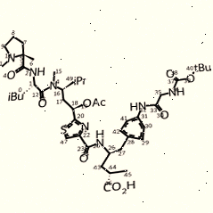 CCC(C)[C@H](NC(=O)[C@@]1(C)CCCN1C)C(=O)N(C)[C@H](C[C@@H](OC(C)=O)c1nc(C(=O)N[C@@H](Cc2ccc(NC(=O)CNC(=O)OC(C)(C)C)cc2)C[C@H](C)C(=O)O)cs1)C(C)C